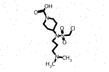 CN(C)CCCN(C1CCN(C(=O)O)CC1)S(=O)(=O)CCl